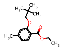 CCOC(=O)c1ccc(C)cc1OCC(C)(C)C